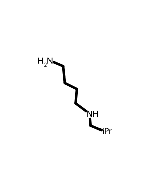 CC(C)CNCCCCN